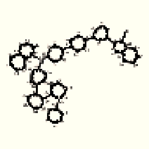 Cc1c(-c2cccc(-c3ccc(-c4ccc(N(c5ccc(-c6ccccc6-c6ccccc6-c6ccccc6)cc5)c5cccc6ccccc56)cc4)cc3)c2)oc2ccccc12